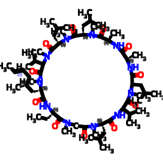 C/C=C/C[C@@H](C)C[C@H]1C(=O)N[C@@H](CC)C(=O)N(C)CC(=O)N(C)[C@@H](CC(C)C)C(=O)NC(C(C)C)C(=O)N(C)C(CC(C)C)C(=O)N[C@@H](C)C(=O)N[C@H](C)C(=O)N(C)[C@@H](CC(C)C)C(=O)N(C)[C@@H](CC(C)C)C(=O)N(C)C(C(C)C)C(=O)N1C